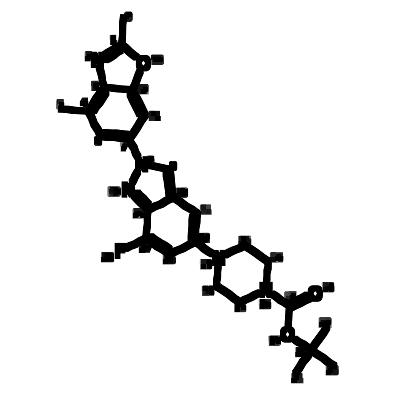 Cc1nc2c(C)cc(-n3cc4cc(N5CCN(C(=O)OC(C)(C)C)CC5)cc(F)c4n3)cc2o1